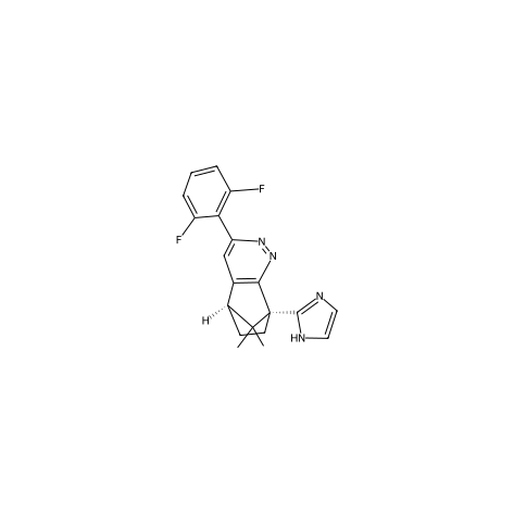 CC1(C)[C@H]2CC[C@]1(c1ncc[nH]1)c1nnc(-c3c(F)cccc3F)cc12